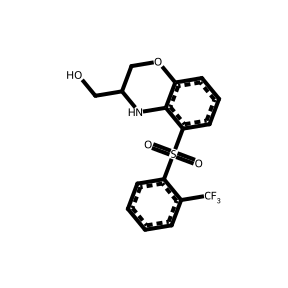 O=S(=O)(c1ccccc1C(F)(F)F)c1cccc2c1NC(CO)CO2